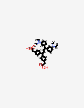 CCN(CC)c1cccc(C(=CC=C(c2ccc(CC(=O)O)cc2)c2ccc(CC(=O)O)cc2)c2cccc(N(CC)CC)c2)c1